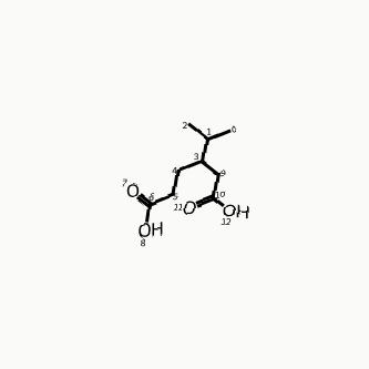 CC(C)C(CCC(=O)O)CC(=O)O